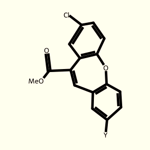 COC(=O)C1=Cc2c[c]([Y])ccc2Oc2ccc(Cl)cc21